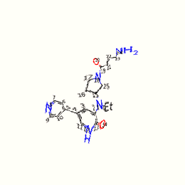 CCN(c1cc(-c2ccncc2)c[nH]c1=O)[C@@H]1CCN(C(=O)C=CCN)C1